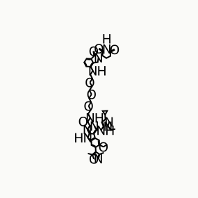 CCn1nc(C2CC2)cc1Nc1nc(C(=O)NCCOCCOCCOCCNc2cccc3c2CN(C2CCC(=O)NC2=O)C3=O)nc2[nH]c3cc(-c4c(C)noc4C)c(OC)cc3c12